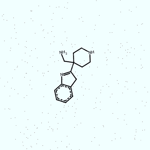 NCC1(C2=Nc3ccccc3C2)CCNCC1